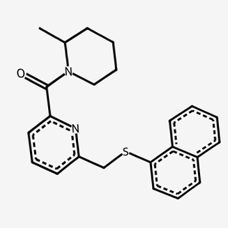 CC1CCCCN1C(=O)c1cccc(CSc2cccc3ccccc23)n1